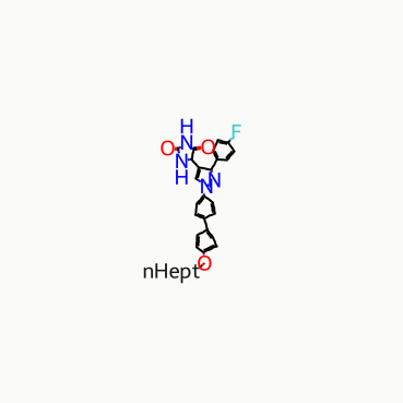 CCCCCCCOc1ccc(-c2ccc(-n3cc(C4NC(=O)NC4=O)c(-c4ccc(F)cc4)n3)cc2)cc1